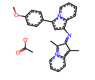 CC(=O)[O-].COc1ccc(-c2cc(/N=C3/C(C)=c4cccc[n+]4=C3C)c3ccccn23)cc1